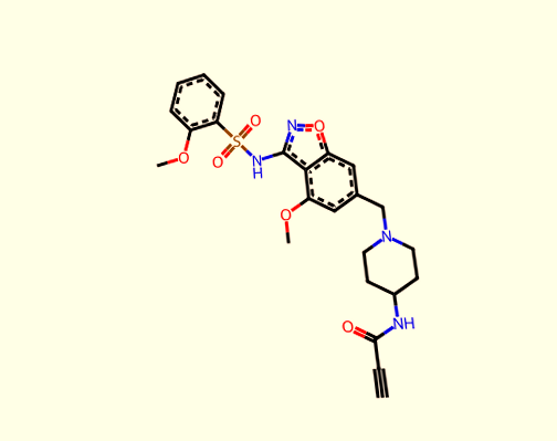 C#CC(=O)NC1CCN(Cc2cc(OC)c3c(NS(=O)(=O)c4ccccc4OC)noc3c2)CC1